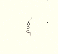 CCCCCC1CCC(C2CCC(C3CCCC(OCCC)C3)CC2)CC1